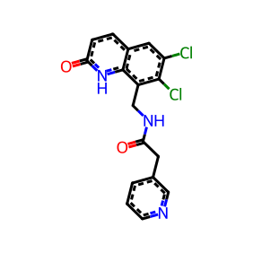 O=C(Cc1cccnc1)NCc1c(Cl)c(Cl)cc2ccc(=O)[nH]c12